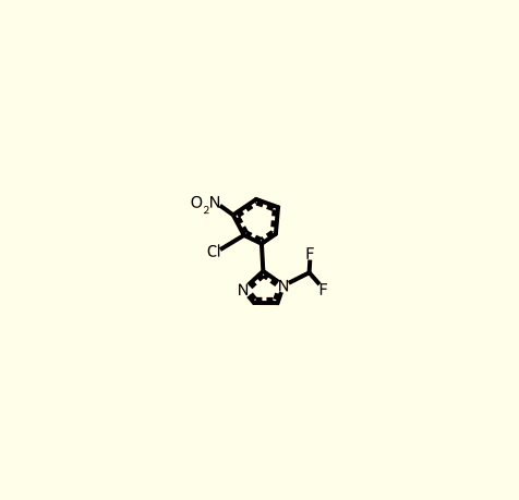 O=[N+]([O-])c1cccc(-c2nccn2C(F)F)c1Cl